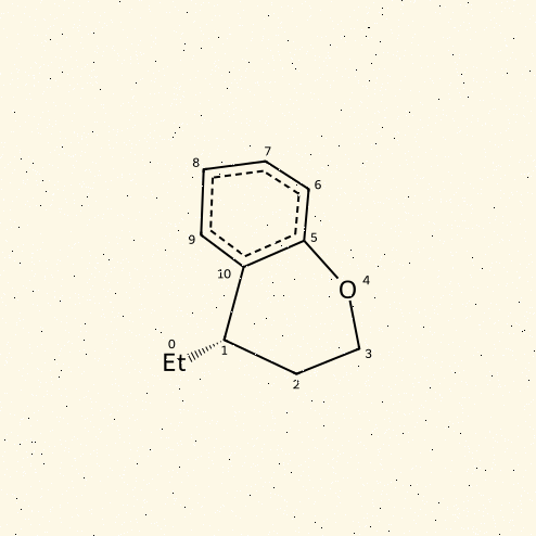 CC[C@H]1CCOc2ccccc21